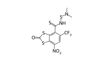 CN(C)SNC(=S)c1c(C(F)(F)F)cc([N+](=O)[O-])c2sc(=O)sc12